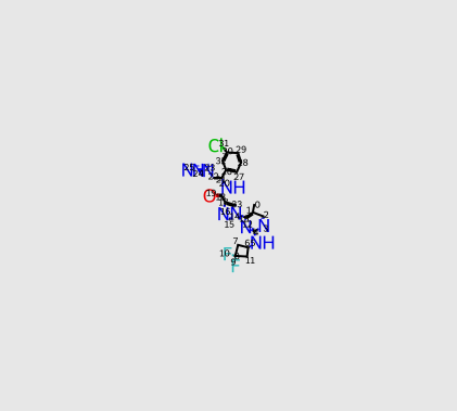 Cc1cnc(NC2CC(F)(F)C2)nc1-n1cnc(C(=O)NC(CN=[N+]=[N-])c2cccc(Cl)c2)c1